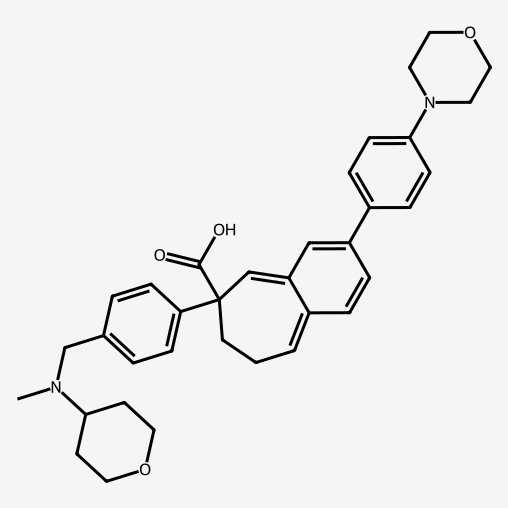 CN(Cc1ccc(C2(C(=O)O)C=c3cc(-c4ccc(N5CCOCC5)cc4)ccc3=CCC2)cc1)C1CCOCC1